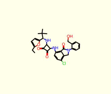 CCc1ccc([C@H](NC2C(=O)C(=O)C2Nc2ccc(Cl)c3c2C(=O)N(c2ccccc2CO)C3)C(C)(C)C)o1